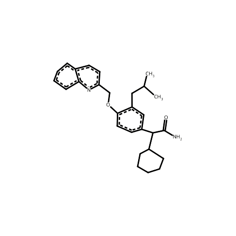 CC(C)Cc1cc(C(C(N)=O)C2CCCCC2)ccc1OCc1ccc2ccccc2n1